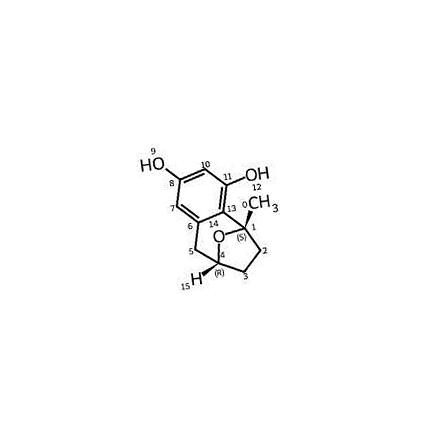 C[C@]12CC[C@H](Cc3cc(O)cc(O)c31)O2